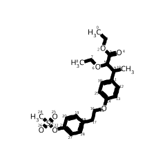 CCOC(=O)C(OCC)C(C)c1ccc(OCCc2ccc(OS(C)(=O)=O)cc2)cc1